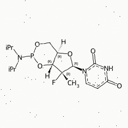 CC(C)N(C(C)C)P1OC[C@H]2O[C@@H](n3ccc(=O)[nH]c3=O)[C@](C)(F)[C@@H]2O1